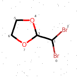 BrC(Br)C1OCCO1